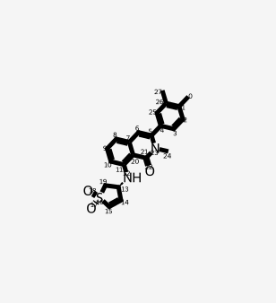 Cc1ccc(-c2cc3cccc(N[C@@H]4C=CS(=O)(=O)C4)c3c(=O)n2C)cc1C